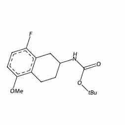 COc1ccc(F)c2c1CCC(NC(=O)OC(C)(C)C)C2